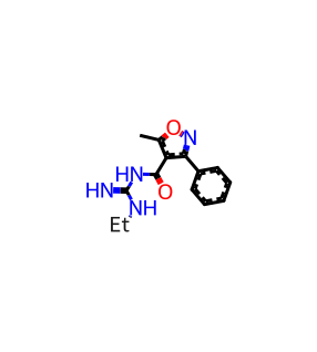 CCNC(=N)NC(=O)c1c(-c2ccccc2)noc1C